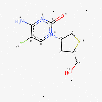 Nc1nc(=O)n([C@@H]2CS[C@H](CO)C2)cc1F